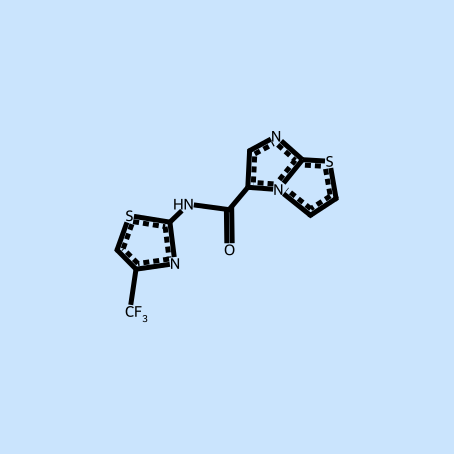 O=C(Nc1nc(C(F)(F)F)cs1)c1cnc2sccn12